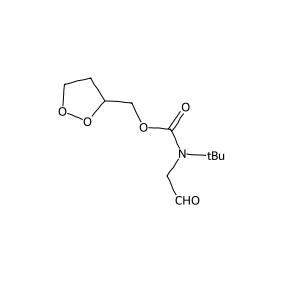 CC(C)(C)N(CC=O)C(=O)OCC1CCOO1